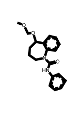 COCOC1CCCN(C(=O)Nc2ccccc2)c2ccccc21